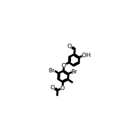 CC(=O)Oc1cc(Br)c(Oc2ccc(O)c(C=O)c2)c(Br)c1C